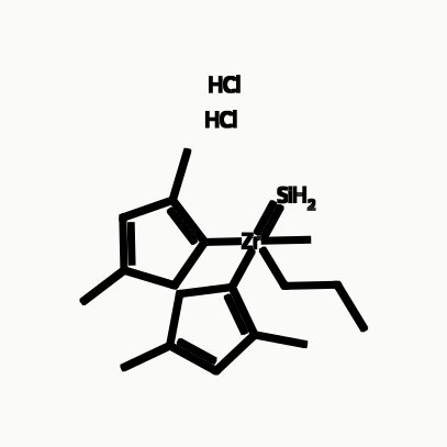 CC[CH2][Zr]([CH3])(=[SiH2])([C]1=C(C)C=C(C)C1)[C]1=C(C)C=C(C)C1.Cl.Cl